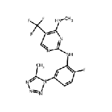 CNc1nc(Nc2cc(-n3nnnc3C)ccc2F)ncc1C(F)(F)F